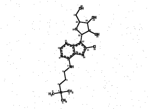 C[Si](C)(C)CCCNc1ncnc2c1nc(Cl)n2C1OC(CO)C(O)C1O